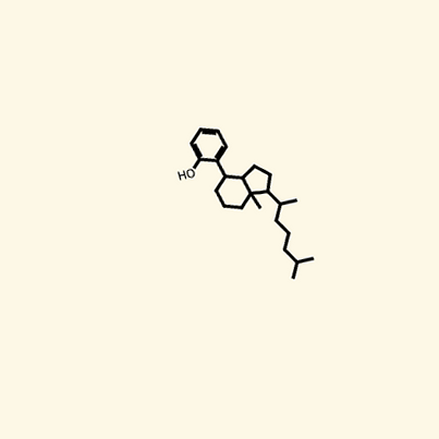 CC(C)CCCC(C)C1CCC2C(c3ccccc3O)CCCC12C